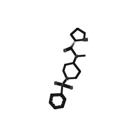 CN(C(=O)[C@@H]1CCCN1)C1CCN(S(=O)(=O)c2ccccc2)CC1